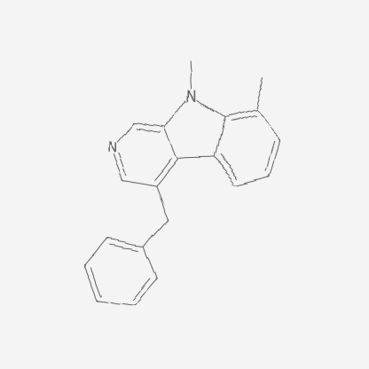 Cc1cccc2c3c(Cc4ccccc4)cncc3n(C)c12